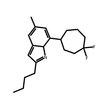 CCCCC1=NC2C(=C1)C=C(C)C=C2C1CCCC(F)(F)CC1